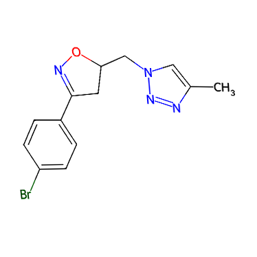 Cc1cn(CC2CC(c3ccc(Br)cc3)=NO2)nn1